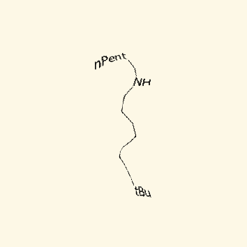 CCCCCNCCCC(C)(C)C